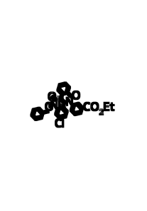 CCOC(=O)c1cccc(N2C(=O)c3ccccc3[C@@H](C(=O)NOCc3ccccc3)[C@@H]2c2ccc(Cl)cc2)c1